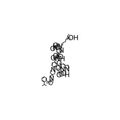 CC[C@@](C)(O)CCCCNc1ncc(S(=O)(=O)NC(=O)c2ccc(N3CCC4(CC3)CN([C@@H]3CCC[C@@H]3c3ccccc3C(C)C)C4)cc2Oc2cc3cc[nH]c3nc2OC[C@@H]2COCCO2)cc1[N+](=O)[O-]